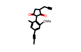 C#CCC1CC(=O)C(c2c(C)cc(C#CC)cc2OC)C1=O